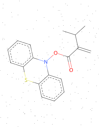 C=C(C(=O)ON1c2ccccc2Sc2ccccc21)C(C)C